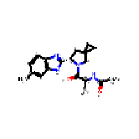 Bc1ccc2nc([C@@H]3CC4(CC4)CN3C(=O)[C@@H](NC(=O)OC)C(C)C)[nH]c2c1